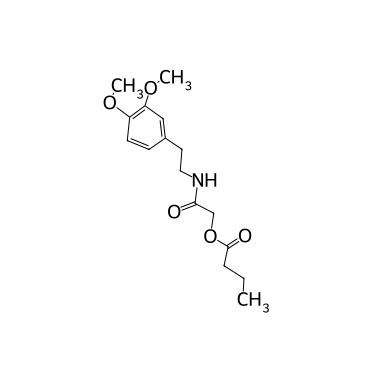 CCCC(=O)OCC(=O)NCCc1ccc(OC)c(OC)c1